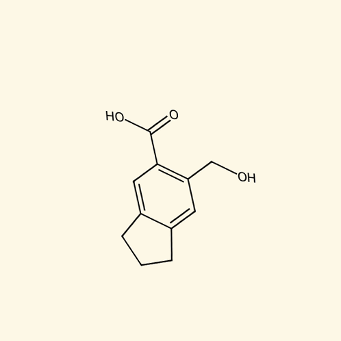 O=C(O)c1cc2c(cc1CO)CCC2